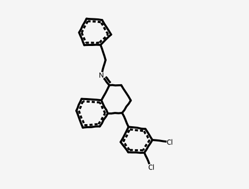 Clc1ccc(C2CCC(=NCc3ccccc3)c3ccccc32)cc1Cl